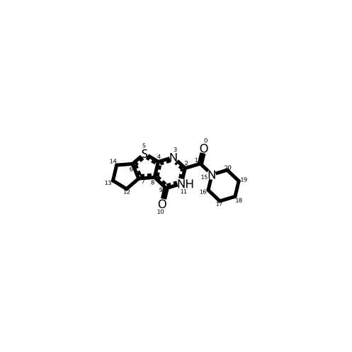 O=C(c1nc2sc3c(c2c(=O)[nH]1)CCC3)N1CCCCC1